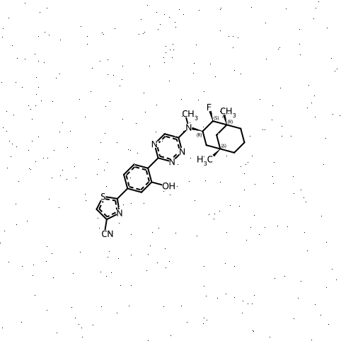 CN(c1cnc(-c2ccc(-c3nc(C#N)cs3)cc2O)nn1)[C@@H]1C[C@@]2(C)CCC[C@](C)(C2)[C@@H]1F